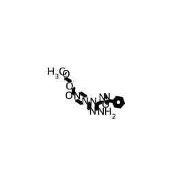 COCCOCC(=O)N1CCN(c2cnc(N)c(-c3nnc(-c4ccccc4)o3)n2)CC1